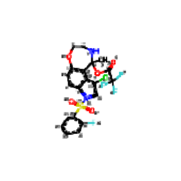 CC1(OC(=O)C(F)(F)F)NCCOc2ccc3c(c(Cl)cn3S(=O)(=O)c3ccccc3F)c21